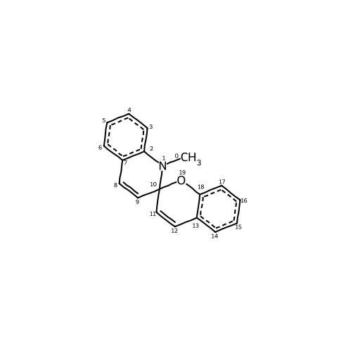 CN1c2ccccc2C=CC12C=Cc1ccccc1O2